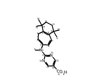 CN(C1=CCC2=C(C=C1)C(C)(C)CCC2(C)C)c1ncc(C(=O)O)cn1